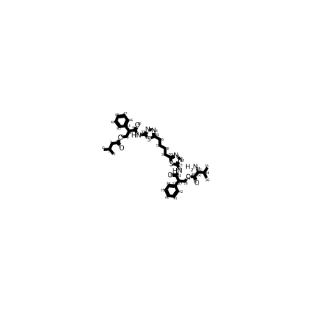 CC(C)CC(=O)OCC(C(=O)Nc1nnc(CCCCc2nnc(NC(=O)C(COC(=O)[C@@H](N)C(C)C)c3ccccc3)s2)s1)c1ccccc1